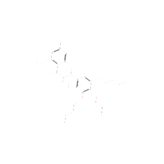 CCCCOc1cc(C2Oc3cc(C)cc(O)c3C(O)C2O)cc(OCCCC)c1OCCCC